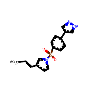 O=C(O)C=Cc1ccn(S(=O)(=O)c2ccc(-c3cn[nH]c3)cc2)c1